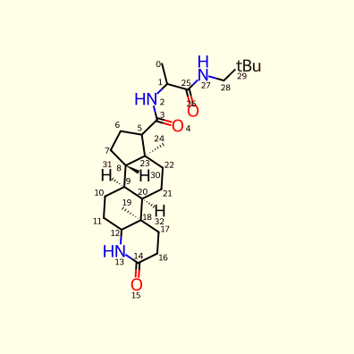 CC(NC(=O)C1CC[C@H]2[C@@H]3CCC4NC(=O)CC[C@]4(C)[C@@H]3CC[C@]12C)C(=O)NCC(C)(C)C